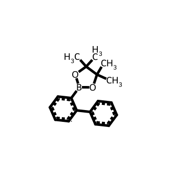 CC1(C)OB(c2ccc[c]c2-c2ccccc2)OC1(C)C